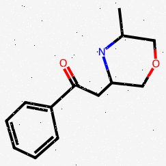 CC1COCC(CC(=O)c2ccccc2)[N]1